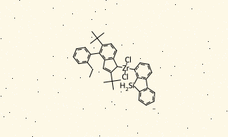 CCc1ccccc1-c1c(C(C)(C)C)ccc2c1C=C(C(C)(C)C)[CH]2[Zr]([Cl])([Cl])[c]1cccc2c1[SiH2]c1ccccc1-2